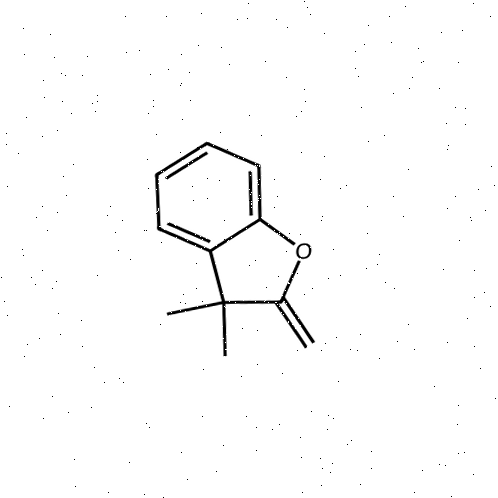 C=C1Oc2ccccc2C1(C)C